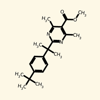 COC(=O)c1c(C)nc(C(C)(C)c2ccc(C(C)(C)C)cc2)nc1C